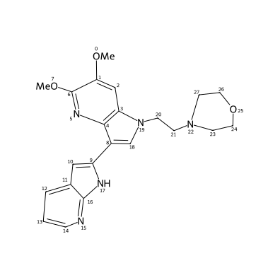 COc1cc2c(nc1OC)c(-c1cc3cccnc3[nH]1)cn2CCN1CCOCC1